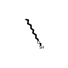 [CH2]CCCCCCCCCOCS